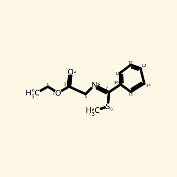 CCOC(=O)C/N=C(\SC)c1ccccc1